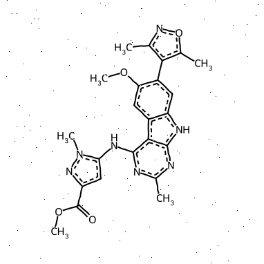 COC(=O)c1cc(Nc2nc(C)nc3[nH]c4cc(-c5c(C)noc5C)c(OC)cc4c23)n(C)n1